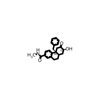 CNC(=O)c1ccc2c(c1)CCC1C[C@H](O)C(=O)C[C@@]21Cc1ccccc1